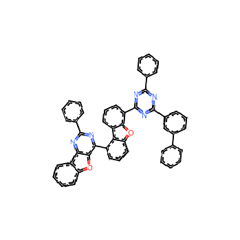 c1ccc(-c2cccc(-c3nc(-c4ccccc4)nc(-c4cccc5c4oc4cccc(-c6nc(-c7ccccc7)nc7c6oc6ccccc67)c45)n3)c2)cc1